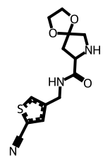 N#Cc1cc(CNC(=O)C2CC3(CN2)OCCO3)cs1